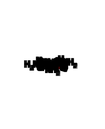 NC[C@]1(c2ccccc2F)[C@@H]2CCN(c3cnc(Sc4ccnc(N)c4Cl)c(N)n3)C[C@@H]21